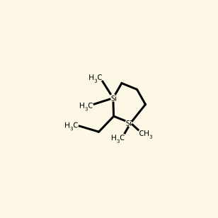 CCC1[Si](C)(C)CCC[Si]1(C)C